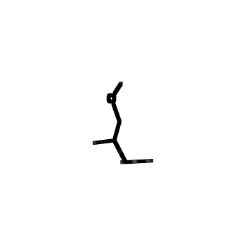 C[CH]C(C)COC